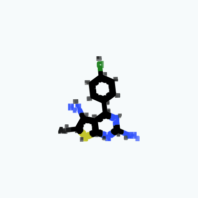 CC(=O)c1sc2nc(N)nc(-c3ccc(Cl)cc3)c2c1N